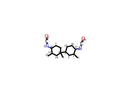 CC1CC(C2(C)CCC(N=C=O)C(C)C2)CCC1N=C=O